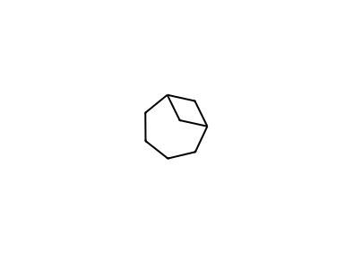 C1CCC2CC(C1)C2